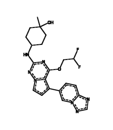 CC1(O)CCC(Nc2nc(OCC(F)F)c3c(-c4ccc5ncnn5c4)ccn3n2)CC1